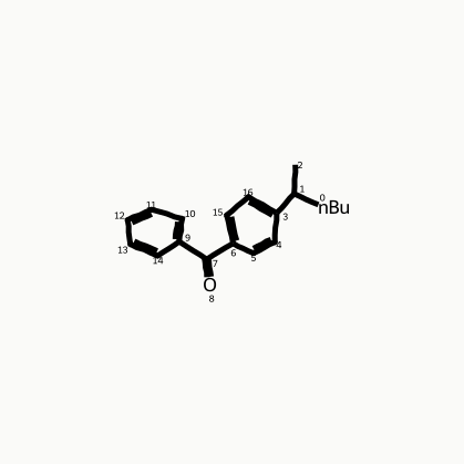 CCCCC(C)c1ccc(C(=O)c2ccccc2)cc1